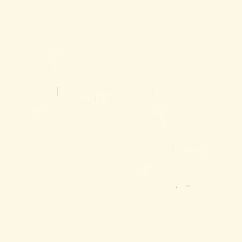 [Ce+3].[Li+].[Li+].[Li+].[O-]B([O-])[O-].[O-]B([O-])[O-]